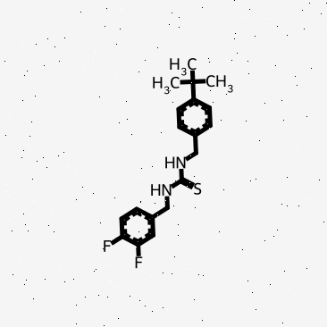 CC(C)(C)c1ccc(CNC(=S)NCc2ccc(F)c(F)c2)cc1